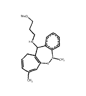 COCCCNC1C2=C(C=C(C)C=CC2)SN(C)c2ccccc21